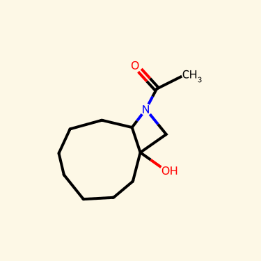 CC(=O)N1CC2(O)CCCCCCCC12